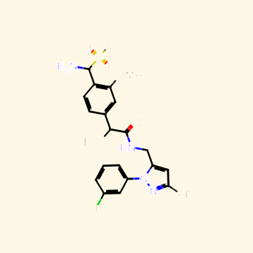 COc1cc(C(C)C(=O)NCc2cc(C(F)(F)F)nn2-c2cccc(Cl)c2)ccc1C(N)S(C)(=O)=O